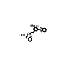 C=C(C=O)OC1(OC(=O)CCc2cc(-n3nc4ccccc4n3)c(O)c(C(C)(C)C)c2)CCCCC1